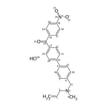 C=CCN(C)Cc1ccc(-c2ccc(C(=O)c3ccc([N+](=O)[O-])cc3)cc2)cc1.Cl